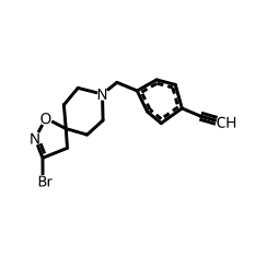 C#Cc1ccc(CN2CCC3(CC2)CC(Br)=NO3)cc1